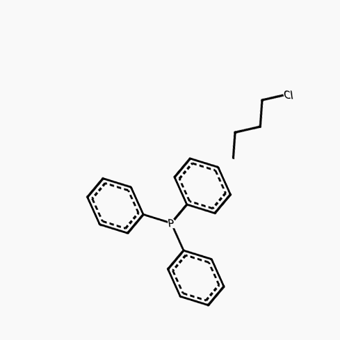 CCCCCl.c1ccc(P(c2ccccc2)c2ccccc2)cc1